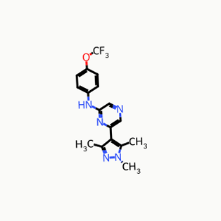 Cc1nn(C)c(C)c1-c1cncc(Nc2ccc(OC(F)(F)F)cc2)n1